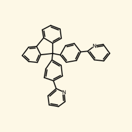 c1ccc(-c2ccc(C3(c4ccc(-c5ccccn5)cc4)c4ccccc4-c4ccccc43)cc2)nc1